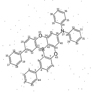 c1ccc(-c2ccc3c(c2)B2c4cc(-c5ccccc5)ccc4Oc4cc(N(c5ccccc5)c5ccccc5)cc(c42)O3)cc1